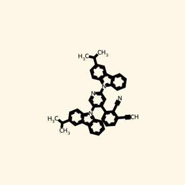 C#Cc1cccc(-c2cc(-n3c4ccccc4c4cc(C(C)C)ccc43)ncc2-n2c3ccccc3c3cc(C(C)C)ccc32)c1C#N